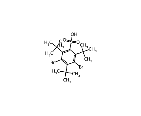 CC(C)(C)c1c(Br)c(C(C)(C)C)c(S(=O)(=O)O)c(C(C)(C)C)c1Br